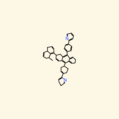 CC1CC=CC2CC=CC(C3C=Cc4c(c(-c5ccc(-c6ccccn6)cc5)c5c(c4C4CC=C(C6=CCCC=N6)CC4)=CCCC=5)C3)=C12